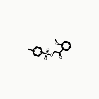 COc1ccccc1C(=O)COS(=O)(=O)c1ccc(C)cc1